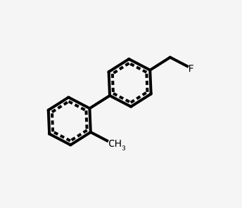 Cc1ccccc1-c1ccc(CF)cc1